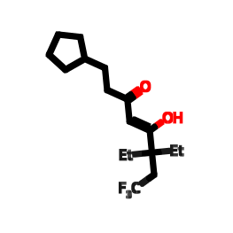 CCC(CC)(CC(F)(F)F)/C(O)=C/C(=O)CCC1CCCC1